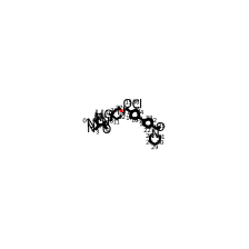 Cn1ncc2c(=O)n(CC3(O)CCN(C(=O)c4ccc(-c5ccc(C(=O)N6CCCCC6)cc5)cc4Cl)CC3)cnc21